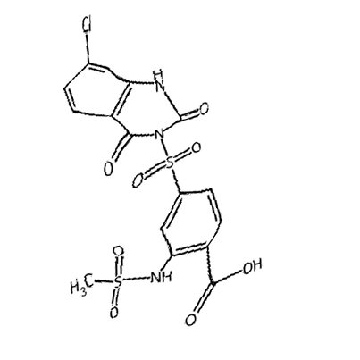 CS(=O)(=O)Nc1cc(S(=O)(=O)n2c(=O)[nH]c3cc(Cl)ccc3c2=O)ccc1C(=O)O